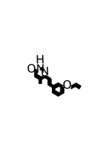 C=CCOc1cccc(/C=C/c2n[nH]c(=O)cc2C)c1